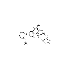 COc1ncccc1-c1ccc2c(c1)nc(N)c1nc(CN3CCCC3=O)[nH]c12